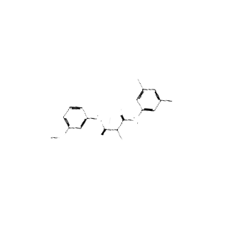 COc1cccc(NC(=O)C(C)C(=O)Nc2cc(C)cc(C)c2)c1